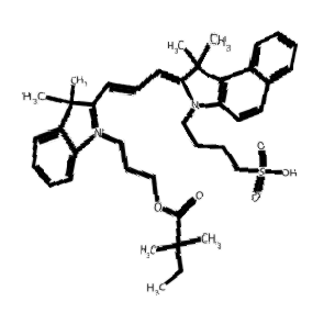 CCC(C)(C)C(=O)OCCC[N+]1=C(C=CC=C2N(CCCCS(=O)(=O)O)c3ccc4ccccc4c3C2(C)C)C(C)(C)c2ccccc21